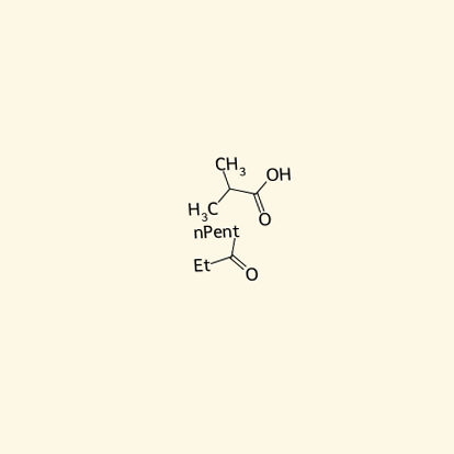 CC(C)C(=O)O.CCCCCC(=O)CC